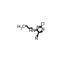 CCCCNc1nc(Cl)ncc1C#N